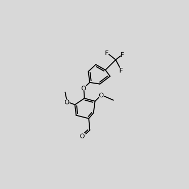 COc1cc(C=O)cc(OC)c1Oc1ccc(C(F)(F)F)cc1